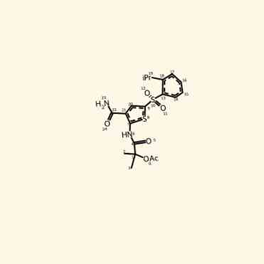 CC(=O)OC(C)(C)C(=O)Nc1sc(S(=O)(=O)c2ccccc2C(C)C)cc1C(N)=O